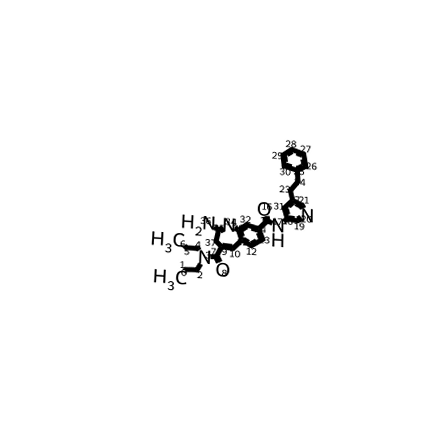 CCCN(CCC)C(=O)C1=Cc2ccc(C(=O)Nc3cncc(CCc4ccccc4)c3)cc2N=C(N)C1